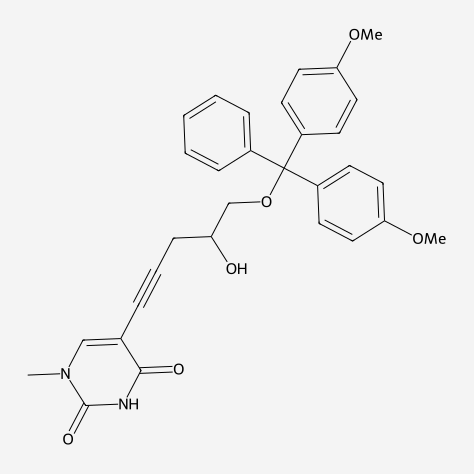 COc1ccc(C(OCC(O)CC#Cc2cn(C)c(=O)[nH]c2=O)(c2ccccc2)c2ccc(OC)cc2)cc1